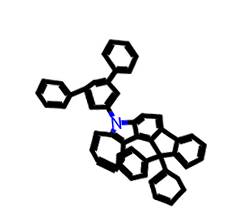 C1#CCc2c(n(-c3cc(-c4ccccc4)cc(-c4ccccc4)c3)c3ccc4c(c23)C(C2=CC=CCC2)(c2ccccc2)c2ccccc2-4)C=C1